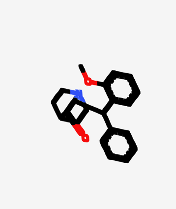 COc1ccccc1C(c1ccccc1)C1C(=O)C2CCN1CC2